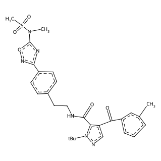 Cc1cccc(C(=O)c2cnn(C(C)(C)C)c2C(=O)NCCc2ccc(-c3noc(N(C)S(C)(=O)=O)n3)cc2)c1